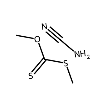 COC(=S)SC.N#CN